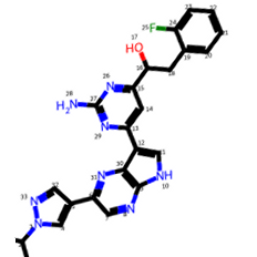 CC(C)n1cc(-c2cnc3[nH]cc(-c4cc(C(O)Cc5ccccc5F)nc(N)n4)c3n2)cn1